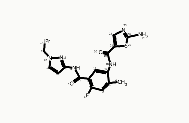 Cc1cc(F)c(C(=O)Nc2ccn(CC(C)C)n2)cc1NC(=O)c1cnc(N)s1